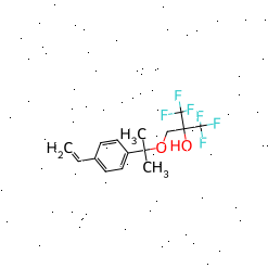 C=Cc1ccc(C(C)(C)OCC(O)(C(F)(F)F)C(F)(F)F)cc1